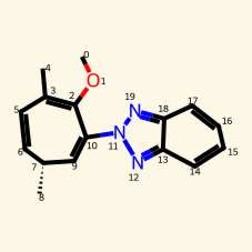 COC1=C(C)C=C[C@@H](C)C=C1n1nc2ccccc2n1